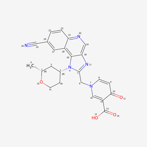 C[C@@H]1C[C@H](n2c(Cn3ccc(=O)c(C(=O)O)c3)nc3cnc4ccc(C#N)cc4c32)CCO1